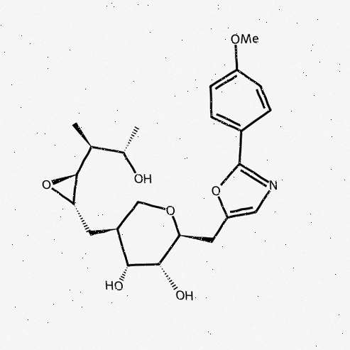 COc1ccc(-c2ncc(C[C@@H]3OC[C@H](C[C@@H]4O[C@H]4[C@@H](C)[C@H](C)O)[C@@H](O)[C@H]3O)o2)cc1